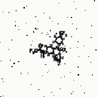 Cn1cc2c(=O)n(-c3ccc(C(F)(F)F)cc3)c3ccc(NC(=O)C(F)(F)F)cc3c2n1